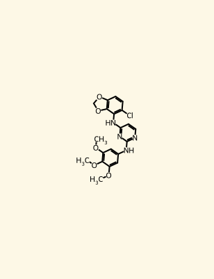 COc1cc(Nc2nccc(Nc3c(Cl)ccc4c3OCO4)n2)cc(OC)c1OC